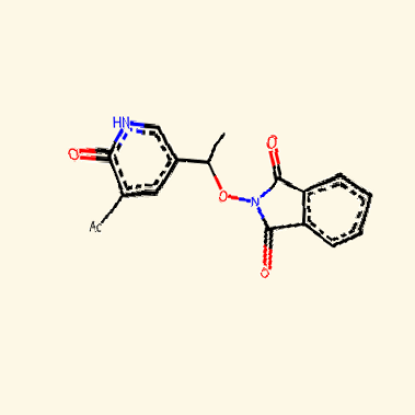 CC(=O)c1cc(C(C)ON2C(=O)c3ccccc3C2=O)c[nH]c1=O